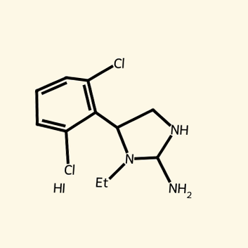 CCN1C(N)NCC1c1c(Cl)cccc1Cl.I